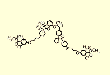 CC(Cc1ccc(C2(C(=O)N3CCC4(CC3)C[C@H]4CCCOc3ccc(C(=O)N(C)C)c(Cl)c3)CCCC2)cc1)Oc1cccc(C(O)(C(=O)N2CCC(CCCCOc3ccc(C(=O)N(C)C)c(Cl)c3)CC2)C(F)(F)F)c1